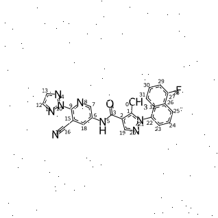 Cc1c(C(=O)Nc2cnc(-n3nccn3)c(C#N)c2)cnn1-c1cccc2c(F)cccc12